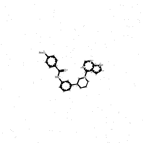 COc1ccc(C(=O)Nc2cccc(C3CCCN(c4ncnc5[nH]ccc45)C3)c2)cc1